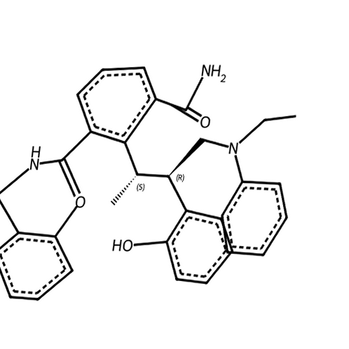 CCN(C[C@@H](c1ccccc1O)[C@H](C)c1c(C(N)=O)cccc1C(=O)NC(C)c1ccccc1C)c1ccccc1